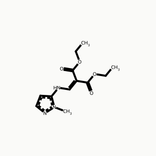 CCOC(=O)C(=CNc1ccnn1C)C(=O)OCC